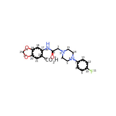 O=C(CN1CCN(c2ccc(F)cc2)CC1)Nc1cc2c(cc1C(=O)O)OCO2